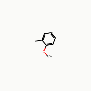 Cc1c[c]ccc1OC(C)C